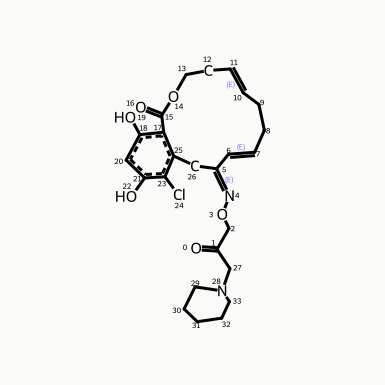 O=C(CO/N=C1/C=C/CC/C=C/CCOC(=O)c2c(O)cc(O)c(Cl)c2C1)CN1CCCCC1